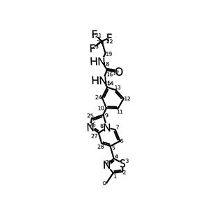 Cc1csc(-c2ccn3c(-c4cccc(NC(=O)NCC(F)(F)F)c4)cnc3c2)n1